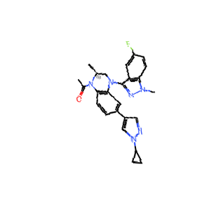 CC(=O)N1c2ccc(-c3cnn(C4CC4)c3)cc2N(c2nn(C)c3ccc(F)cc23)C[C@@H]1C